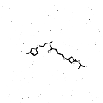 CC1=CCC(OCCN(C)C(=O)CCCOC2CC(OC(C)C)C2)C1